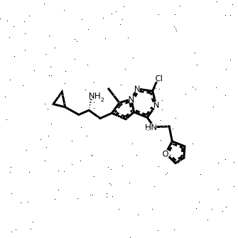 Cc1c(C[C@@H](N)CC2CC2)cc2c(NCc3ccco3)nc(Cl)nn12